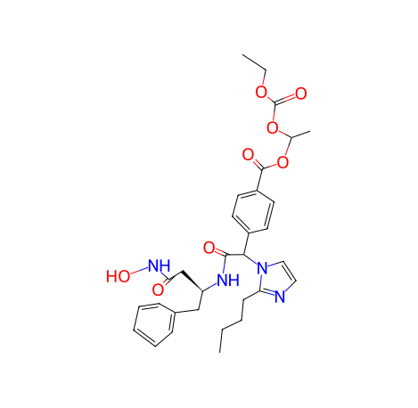 CCCCc1nccn1C(C(=O)N[C@H](CC(=O)NO)Cc1ccccc1)c1ccc(C(=O)OC(C)OC(=O)OCC)cc1